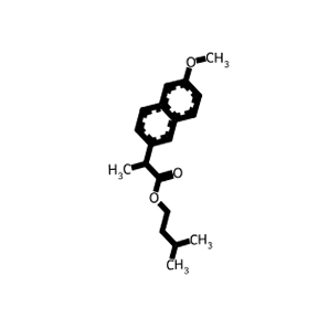 COc1ccc2cc(C(C)C(=O)OCCC(C)C)ccc2c1